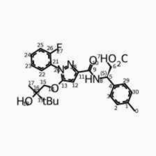 Cc1ccc([C@H](CC(=O)O)NC(=O)c2cc(OC[C@@](C)(O)C(C)(C)C)n(-c3ccccc3F)n2)cc1